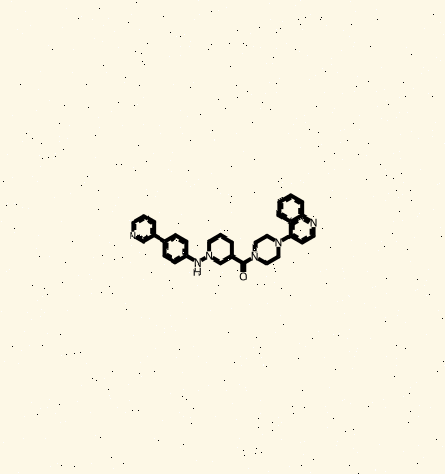 O=C(C1CCCN(Nc2ccc(-c3cccnc3)cc2)C1)N1CCN(c2ccnc3ccccc23)CC1